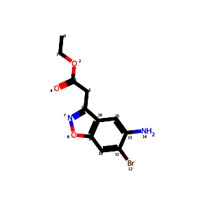 CCOC(=O)Cc1noc2cc(Br)c(N)cc12